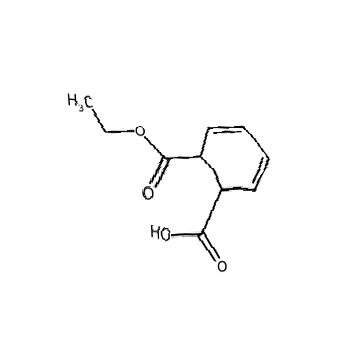 CCOC(=O)C1C=CC=CC1C(=O)O